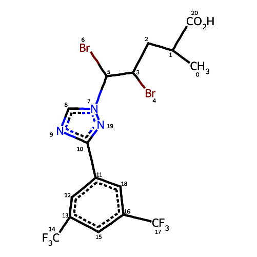 CC(CC(Br)C(Br)n1cnc(-c2cc(C(F)(F)F)cc(C(F)(F)F)c2)n1)C(=O)O